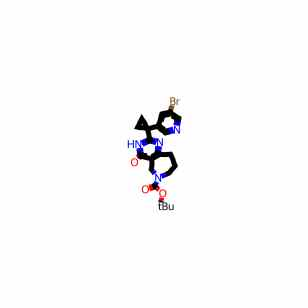 CC(C)(C)OC(=O)N1CCCc2nc(C3(c4cncc(Br)c4)CC3)[nH]c(=O)c2C1